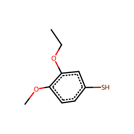 CCOc1cc(S)ccc1OC